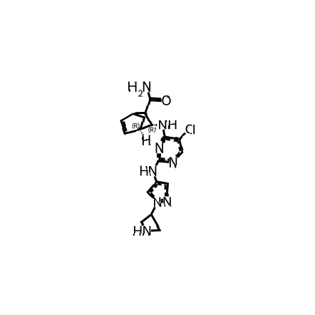 NC(=O)C1C2C=C[C@@H](C2)[C@H]1Nc1nc(Nc2cnn(C3CNC3)c2)ncc1Cl